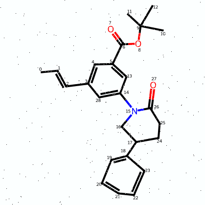 C/C=C/c1cc(C(=O)OC(C)(C)C)cc(N2CC(c3ccccc3)CCC2=O)c1